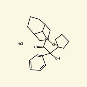 CN1CC2CCCC(C1)C2OC(=O)C(O)(c1ccccc1)C1CCCC1.Cl